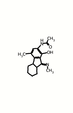 CN=C1c2c(O)c(NC(C)=O)cc(C)c2C2CCCCC12